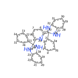 c1ccc(C2(c3cccc(C4(c5ccccc5)Nc5ccccc5N4)n3)Nc3ccccc3N2)cc1